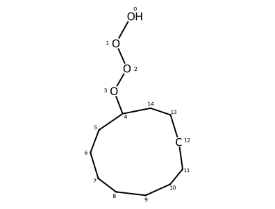 OOOOC1CCCCCCCCCC1